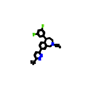 CN1CCC(c2cc(F)cc(F)c2)c2ccc(-c3ccc(C(F)(F)F)nn3)cc2C1